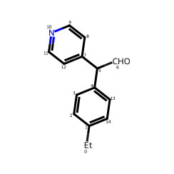 CCc1ccc(C(C=O)c2ccncc2)cc1